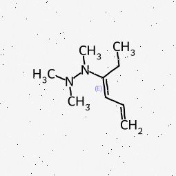 C=C/C=C(\CC)N(C)N(C)C